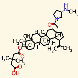 C=C(C)[C@@H]1CC[C@]2(CC(=O)N3CC[C@H](NC)C3)CC[C@]3(C)[C@H](CC[C@@H]4[C@@]5(C)CC[C@H](OC(=O)CC(C)(C)CC(=O)O)C(C)(C)[C@@H]5CC[C@]43C)[C@@H]12